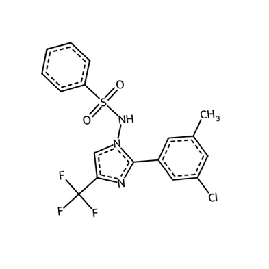 Cc1cc(Cl)cc(-c2nc(C(F)(F)F)cn2NS(=O)(=O)c2ccccc2)c1